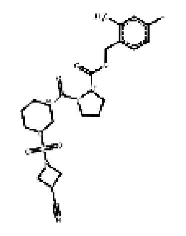 Cc1cc(F)ccc1CNC(=O)[C@H]1CCCN1C(=O)[C@H]1CCCN(S(=O)(=O)N2CC(C#N)C2)C1